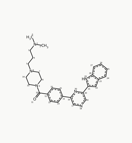 CN(C)CCCN1CCN(C(=O)c2ccc(-c3cncc(-c4cc5ccccc5[nH]4)n3)cc2)CC1